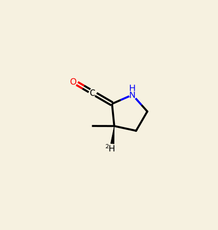 [2H][C@]1(C)CCNC1=C=O